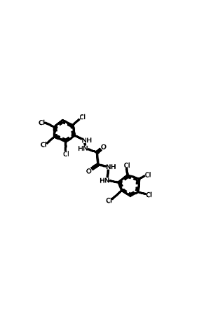 O=C(NNc1c(Cl)cc(Cl)c(Cl)c1Cl)C(=O)NNc1c(Cl)cc(Cl)c(Cl)c1Cl